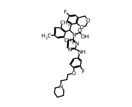 Cc1cc(C)c(C(c2cc(F)cc3c2OCOC3)N(C(=O)O)c2ccnc(Nc3ccc(OCCCN4CCCCC4)c(F)c3)n2)c(C)c1